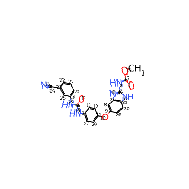 COC(=O)Nc1nc2cc(Oc3ccc(NC(=O)Nc4cccc(C#N)c4)cc3)ccc2[nH]1